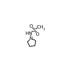 CS(=O)(=O)NN1CCCC1